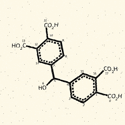 O=C(O)c1ccc(C(O)c2ccc(C(=O)O)c(C(=O)O)c2)cc1C(=O)O